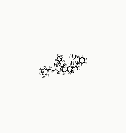 Nc1ccccc1NC(=O)c1ccc(CN(CCCCN2CCOCC2)C(=O)Nc2ccsc2)cn1